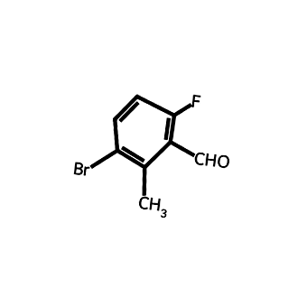 Cc1c(Br)ccc(F)c1C=O